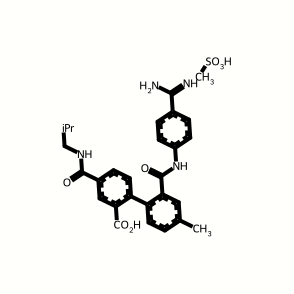 CS(=O)(=O)O.Cc1ccc(-c2ccc(C(=O)NCC(C)C)cc2C(=O)O)c(C(=O)Nc2ccc(C(=N)N)cc2)c1